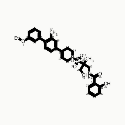 CCOc1cccc(-c2ccc(C3=CCN(S(=O)(=O)C(C)(CO)CNC(=O)c4ccccc4O)CC3)cc2C)c1